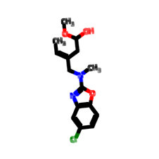 C/C=C(\CC(O)OC)CN(C)c1nc2cc(Cl)ccc2o1